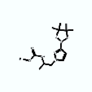 CC(Cn1ccc(B2OC(C)(C)C(C)(C)O2)n1)NC(=O)OC(C)(C)C